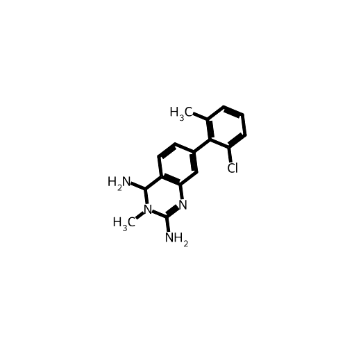 Cc1cccc(Cl)c1-c1ccc2c(c1)N=C(N)N(C)C2N